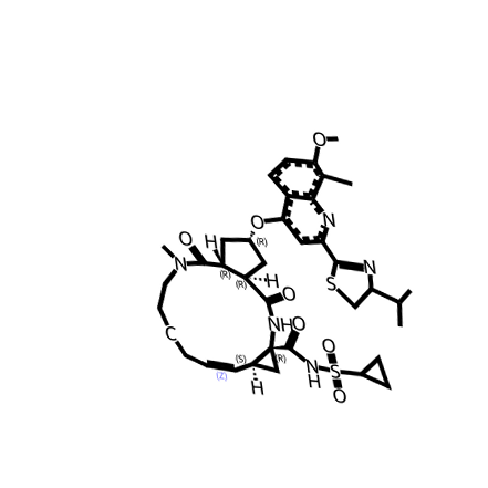 COc1ccc2c(O[C@@H]3C[C@H]4C(=O)N[C@]5(C(=O)NS(=O)(=O)C6CC6)C[C@H]5/C=C\CCCCN(C)C(=O)[C@@H]4C3)cc(C3=NC(C(C)C)CS3)nc2c1C